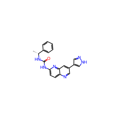 C[C@@H](NC(=O)Nc1ccc2ncc(-c3cn[nH]c3)cc2n1)c1ccccc1